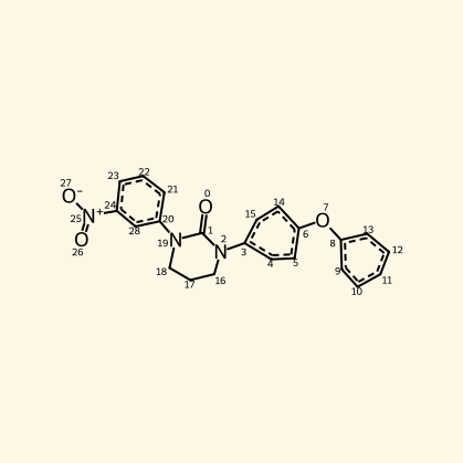 O=C1N(c2ccc(Oc3ccccc3)cc2)CCCN1c1cccc([N+](=O)[O-])c1